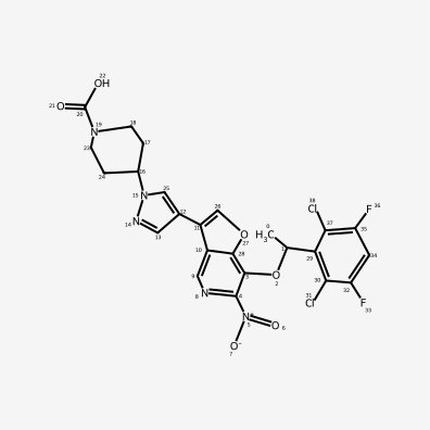 CC(Oc1c([N+](=O)[O-])ncc2c(-c3cnn(C4CCN(C(=O)O)CC4)c3)coc12)c1c(Cl)c(F)cc(F)c1Cl